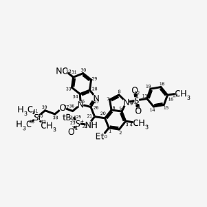 CCc1cc(C)c2c(ccn2S(=O)(=O)c2ccc(C)cc2)c1C(N[S+]([O-])C(C)(C)C)c1nc2ccc(C#N)cc2n1COCC[Si](C)(C)C